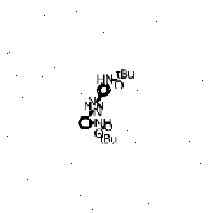 CC(C)(C)OC(=O)NC1CCCCC1c1nnc(-c2ccc(NC(=O)C(C)(C)C)cc2)nn1